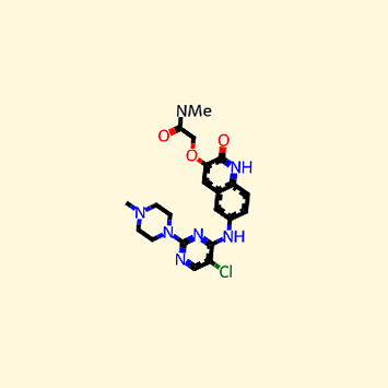 CNC(=O)COc1cc2cc(Nc3nc(N4CCN(C)CC4)ncc3Cl)ccc2[nH]c1=O